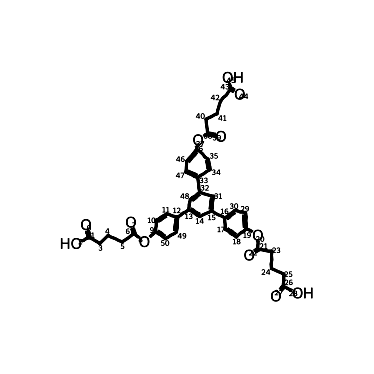 O=C(O)CCCC(=O)Oc1ccc(-c2cc(-c3ccc(OC(=O)CCCC(=O)O)cc3)cc(-c3ccc(OC(=O)CCCC(=O)O)cc3)c2)cc1